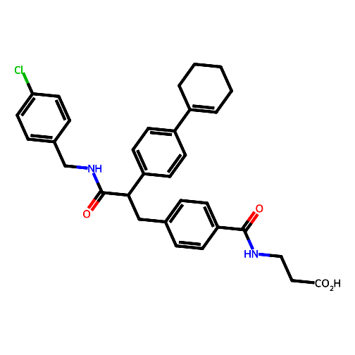 O=C(O)CCNC(=O)c1ccc(CC(C(=O)NCc2ccc(Cl)cc2)c2ccc(C3=CCCCC3)cc2)cc1